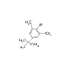 Cc1cc(C(C)(C)C)cc(C)c1Br